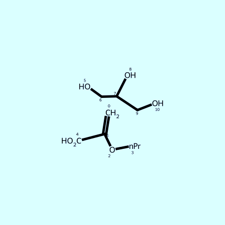 C=C(OCCC)C(=O)O.OCC(O)CO